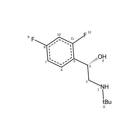 CC(C)(C)NC[C@@H](O)c1ccc(F)cc1F